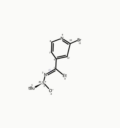 CC/C(=N\[S@@+]([O-])C(C)(C)C)c1ccnc(Br)c1